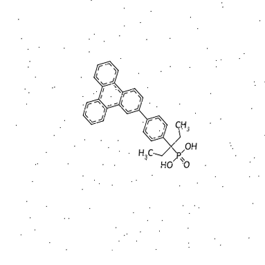 CCC(CC)(c1ccc(-c2ccc3c4ccccc4c4ccccc4c3c2)cc1)P(=O)(O)O